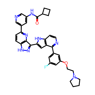 O=C(Nc1cncc(-c2ccc3[nH]nc(-c4cc5c(-c6cc(F)cc(OCCN7CCCC7)c6)nccc5[nH]4)c3n2)c1)C1CCC1